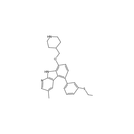 CCSc1cccc(-c2ccc(OCC3CCNCC3)c3[nH]c4ncc(C)cc4c23)c1